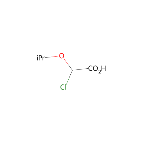 CC(C)OC(Cl)C(=O)O